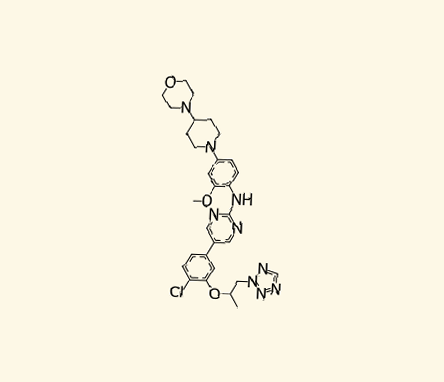 COc1cc(N2CCC(N3CCOCC3)CC2)ccc1Nc1ncc(-c2ccc(Cl)c(OC(C)Cn3ncnn3)c2)cn1